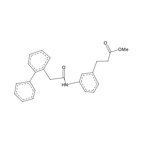 COC(=O)CCc1cccc(NC(=O)Cc2ccccc2-c2ccccc2)c1